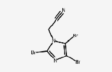 N#CCn1c(Br)nc(Br)c1Br